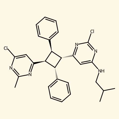 Cc1nc(Cl)cc([C@H]2[C@@H](c3ccccc3)[C@H](c3cc(NCC(C)C)nc(Cl)n3)[C@@H]2c2ccccc2)n1